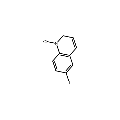 ClN1CC=Cc2cc(I)ccc21